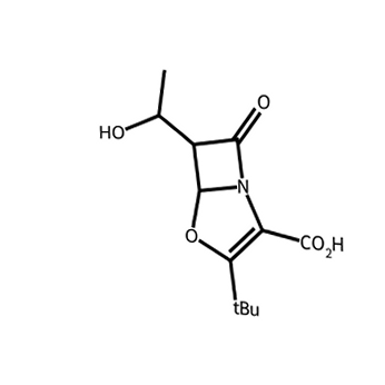 CC(O)C1C(=O)N2C(C(=O)O)=C(C(C)(C)C)OC12